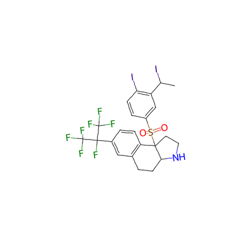 CC(I)c1cc(S(=O)(=O)C23CCNC2CCc2cc(C(F)(C(F)(F)F)C(F)(F)F)ccc23)ccc1I